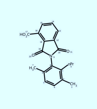 CCCc1c(C)ccc(C)c1N1C(=O)c2cccc(C(=O)O)c2C1=O